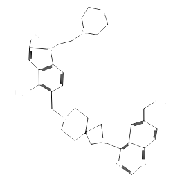 Cc1c(CN2CCC3(CC2)CN(c2ncnc4ccc(CC(F)(F)F)cc24)C3)ccc2c1cc(C#N)n2CCN1CCOCC1